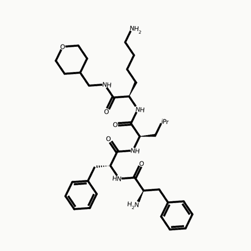 CC(C)C[C@@H](NC(=O)[C@@H](Cc1ccccc1)NC(=O)[C@H](N)Cc1ccccc1)C(=O)N[C@H](CCCCN)C(=O)NCC1CCOCC1